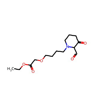 CCOC(=O)COCCCCN1CCCC(=O)C1C=O